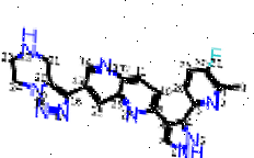 Cc1nc(-c2n[nH]cc2-c2ccc3ncc(-c4nnn5c4CNCC5)cc3n2)ccc1F